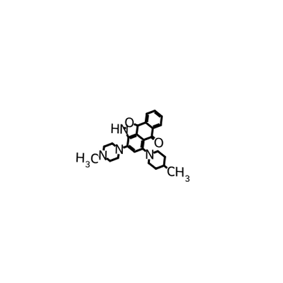 CC1CCN(c2cc(N3CCN(C)CC3)c3c4c2C(=O)c2ccccc2C4ON3)CC1